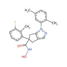 Cc1ccc(C)c(-n2ncc3c2CC(C(=O)NO)(c2cccc(F)c2C)C3)c1